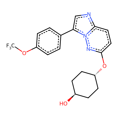 O[C@H]1CC[C@H](Oc2ccc3ncc(-c4ccc(OC(F)(F)F)cc4)n3n2)CC1